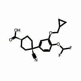 N#C[C@]1(c2ccc(OC(F)F)c(OCC3CC3)c2)CC[C@H](C(=O)O)CC1